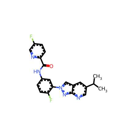 CC(C)c1cnc2nn(-c3cc(NC(=O)c4ccc(F)cn4)ccc3F)cc2c1